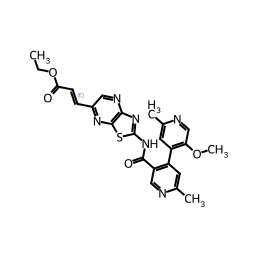 CCOC(=O)/C=C/c1cnc2nc(NC(=O)c3cnc(C)cc3-c3cc(C)ncc3OC)sc2n1